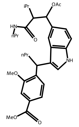 CCCNC(=O)C(C(C)C)C(OC(C)=O)c1ccc2[nH]cc(C(CCC)c3ccc(C(=O)OC)cc3OC)c2c1